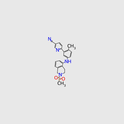 Cc1ccc(Nc2cccc3c2CCN(S(C)(=O)=O)C3)cc1-c1ccc(C#N)cn1